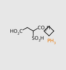 C1CCC1.O=C(O)CC(C(=O)O)S(=O)(=O)O.P